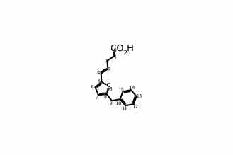 O=C(O)CCC=Cc1ccc(Cc2ccccc2)s1